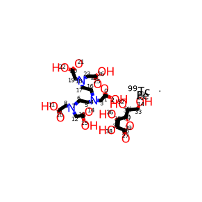 O=C(O)CN(CCN(CC(=O)O)CC(=O)O)CCN(CC(=O)O)CC(=O)O.O=C1O[C@H]([C@@H](O)CO)C(O)=C1O.[99Tc].[Fe]